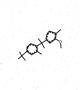 COc1cc(C(C)(C)c2ccc(C(C)(C)C)cc2C)ccc1C